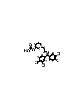 O=C(O)OC1CCCN(CCOC(c2ccc(Cl)c(Cl)c2)c2ccc(Cl)c(Cl)c2)C1